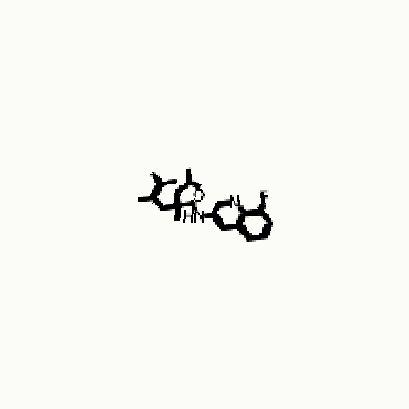 CC(C)=C(C)CC(C)(CC(C)C)C(=O)Nc1cnc2c(F)cccc2c1